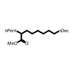 CCCCCCCCCCCCCCCCC(CCCCC)C(=O)OC